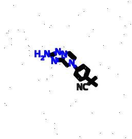 CC(C)(C#N)c1ccc(N2C=Cn3nc(N)nc3C2)cc1